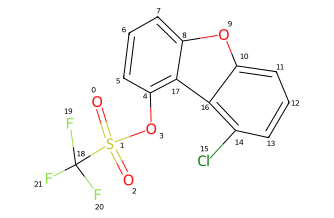 O=S(=O)(Oc1cccc2oc3cccc(Cl)c3c12)C(F)(F)F